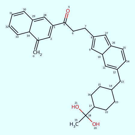 C=C1C=C(C(=O)CCC2=CC3C=C(CC4CCC(C(C)(O)O)CC4)C=CC3=C2)C=C2C=CC=CC12